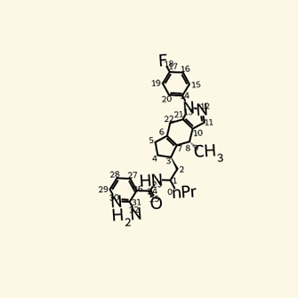 CCCC(C[C@H]1CCC2=C1[C@@H](C)c1cnn(-c3ccc(F)cc3)c1C2)NC(=O)c1cccnc1N